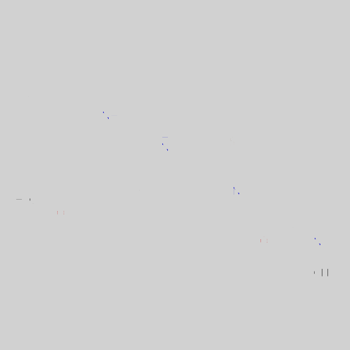 CNC(=O)CC1CSC(c2cc3cc(OC)cc(NC4CCCC4)c3[nH]2)=N1